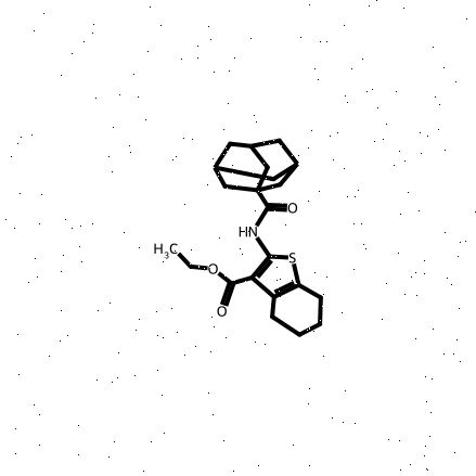 CCOC(=O)c1c(NC(=O)C23CC4CC(CC(C4)C2)C3)sc2c1CCCC2